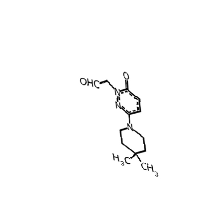 CC1(C)CCN(c2ccc(=O)n(CC=O)n2)CC1